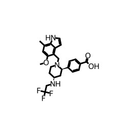 COc1cc(C)c2[nH]ccc2c1CN1CC[C@@H](NCC(F)(F)F)C[C@@H]1c1ccc(C(=O)O)cc1